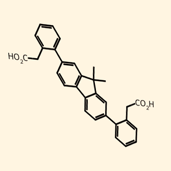 CC1(C)c2cc(-c3ccccc3CC(=O)O)ccc2-c2ccc(-c3ccccc3CC(=O)O)cc21